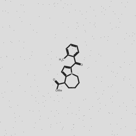 COC(=O)C1CCCCn2c(C(=O)c3ccccc3C)ccc21